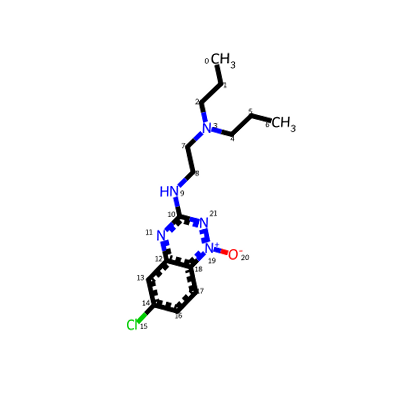 CCCN(CCC)CCNc1nc2cc(Cl)ccc2[n+]([O-])n1